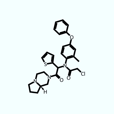 Cc1cc(Oc2ccccc2)ccc1N(C(=O)CCl)C(C(=O)N1CCN2CCC[C@H]2C1)c1cccs1